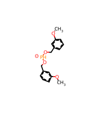 COc1cccc(CO[PH](=O)OCc2cccc(OC)c2)c1